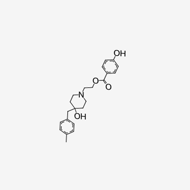 Cc1ccc(CC2(O)CCN(CCOC(=O)c3ccc(O)cc3)CC2)cc1